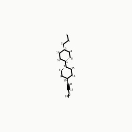 CCC[C@H]1CC[C@H]([C@H]2CC[C@H](C#CF)CC2)CC1